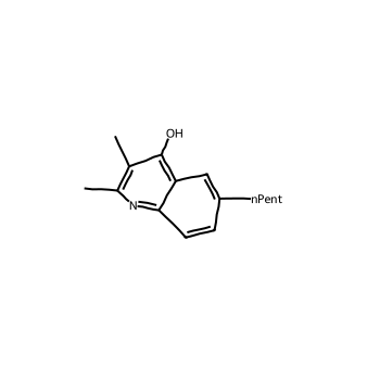 CCCCCc1ccc2nc(C)c(C)c(O)c2c1